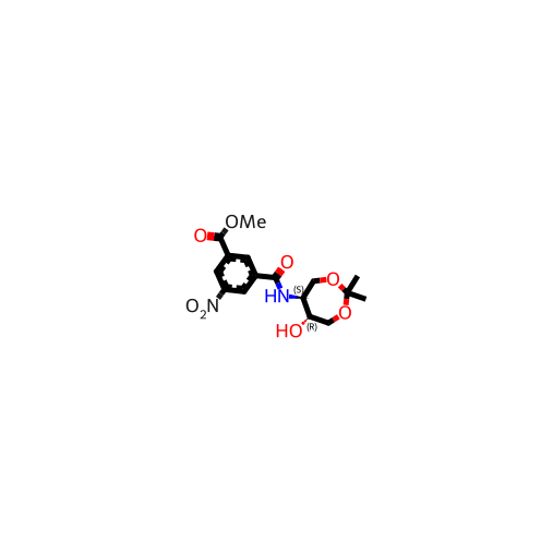 COC(=O)c1cc(C(=O)N[C@H]2COC(C)(C)OC[C@@H]2O)cc([N+](=O)[O-])c1